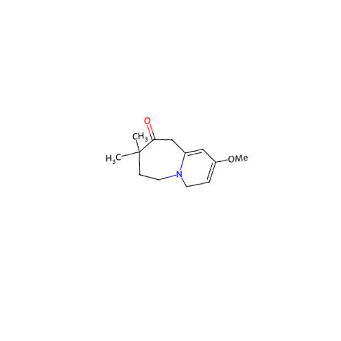 COC1=CCN2CCC(C)(C)C(=O)CC2=C1